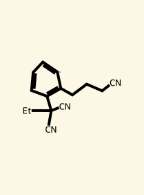 CCC(C#N)(C#N)c1ccc[c]c1CCCC#N